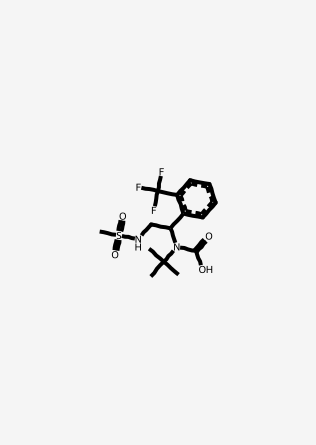 CC(C)(C)N(C(=O)O)C(CNS(C)(=O)=O)c1ccccc1C(F)(F)F